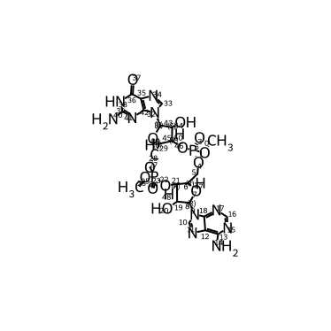 COP1(=O)OC[C@H]2O[C@@H](n3cnc4c(N)ncnc43)C(O)[C@H]2OP(=O)(OC)OC[C@H]2O[C@@H](n3cnc4c(=O)[nH]c(N)nc43)[C@@H](O)[C@H]2O1